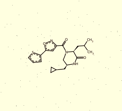 CC(C)C[C@H]1C(=O)N[C@@H](CC2CC2)CN1C(=O)c1cc(-c2cccs2)on1